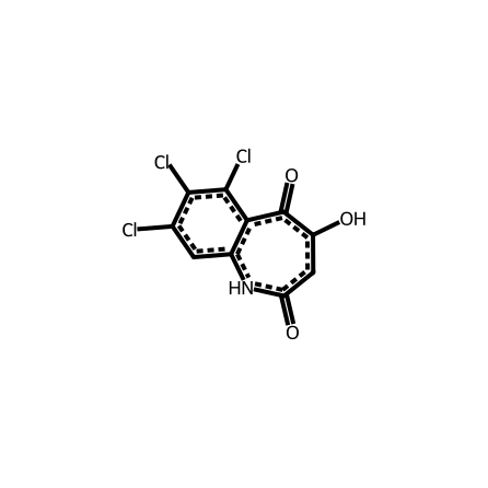 O=c1cc(O)c(=O)c2c(Cl)c(Cl)c(Cl)cc2[nH]1